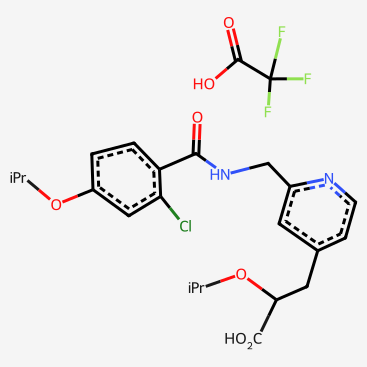 CC(C)Oc1ccc(C(=O)NCc2cc(CC(OC(C)C)C(=O)O)ccn2)c(Cl)c1.O=C(O)C(F)(F)F